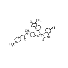 CN1CCN(CC(=O)N(C)c2ccc(N/C(=C3\C(=O)Nc4cc(Cl)ccc43)c3ccc4c(c3)oc(=O)n4C)cc2)CC1